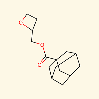 O=C(OCC1CCO1)C12CC3CC(CC(C3)C1)C2